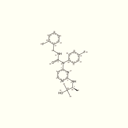 C[C@H](Nc1nccc(N(C(=O)NCc2ccccc2F)c2ccc(F)cc2)n1)C(C)(C)O